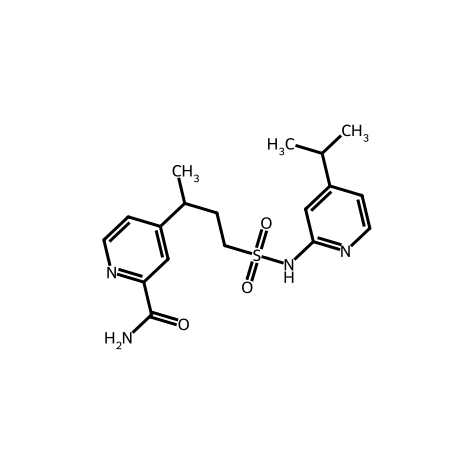 CC(C)c1ccnc(NS(=O)(=O)CCC(C)c2ccnc(C(N)=O)c2)c1